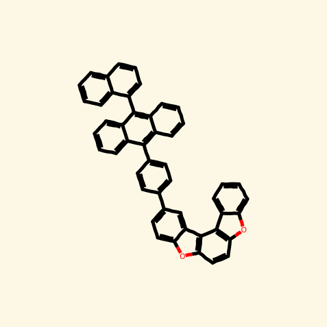 c1ccc2c(-c3c4ccccc4c(-c4ccc(-c5ccc6oc7ccc8oc9ccccc9c8c7c6c5)cc4)c4ccccc34)cccc2c1